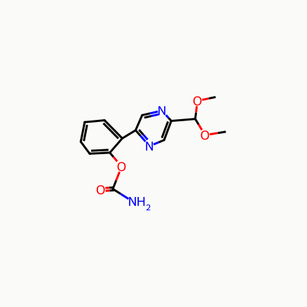 COC(OC)c1cnc(-c2ccccc2OC(N)=O)cn1